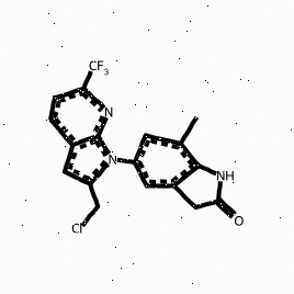 Cc1cc(-n2c(CCl)cc3ccc(C(F)(F)F)nc32)cc2c1NC(=O)C2